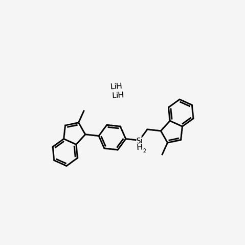 CC1=Cc2ccccc2C1C[SiH2]c1ccc(C2C(C)=Cc3ccccc32)cc1.[LiH].[LiH]